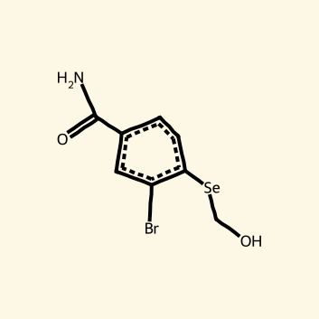 NC(=O)c1ccc([Se]CO)c(Br)c1